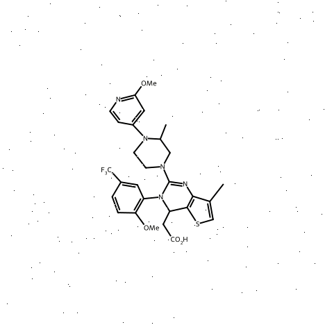 COc1cc(N2CCN(C3=Nc4c(C)csc4C(CC(=O)O)N3c3cc(C(F)(F)F)ccc3OC)CC2C)ccn1